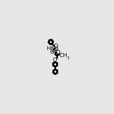 Cc1oc(S(=O)(=O)NC(=O)c2ccccc2)cc1COc1ccc(-c2ccccc2)cc1